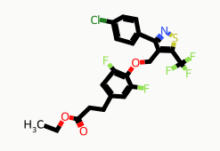 CCOC(=O)CCc1cc(F)c(OCc2c(-c3ccc(Cl)cc3)nsc2C(F)(F)F)c(F)c1